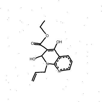 C=CCN1c2ncccc2C(O)=C(C(=O)OCC)C1O